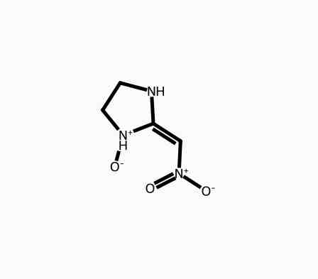 O=[N+]([O-])C=C1NCC[NH+]1[O-]